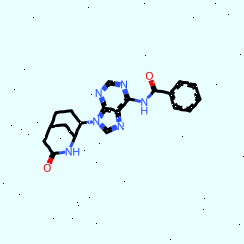 O=C1CC2CCC(n3cnc4c(NC(=O)c5ccccc5)ncnc43)C(C2)N1